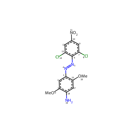 COc1cc(/N=N/c2c(Cl)cc([N+](=O)[O-])cc2Cl)c(OC)cc1N